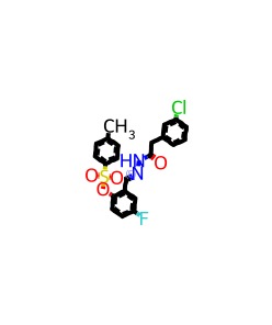 Cc1ccc(S(=O)(=O)Oc2ccc(F)cc2/C=N/NC(=O)Cc2cccc(Cl)c2)cc1